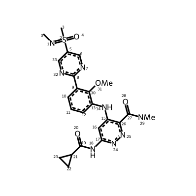 CN=S(C)(=O)c1cnc(-c2cccc(Nc3cc(NC(=O)C4CC4)nnc3C(=O)NC)c2OC)nc1